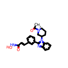 CC(=O)N1CCCC(n2c(-c3cccc(C=CC(=O)NO)c3)nc3ccccc32)C1